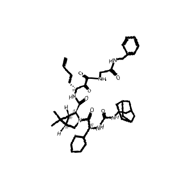 C=CCC[C@@H](NC(=O)[C@@H]1[C@@H]2[C@H](CN1C(=O)[C@@H](NC(=O)NC13CC4CC(CC(C4)C1)C3)C1CCCCC1)C2(C)C)C(=O)C(=O)NCC(=O)NCc1ccccc1